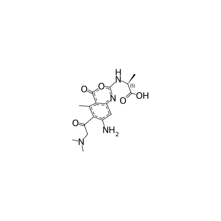 Cc1c(C(=O)CN(C)C)c(N)cc2nc(N[C@@H](C)C(=O)O)oc(=O)c12